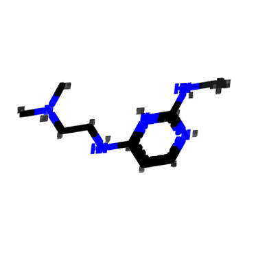 CCCCNc1nccc(NCCN(C)C)n1